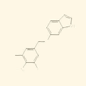 Nc1c(Br)cc(COc2ccc3[c]c[nH]c3c2)cc1Br